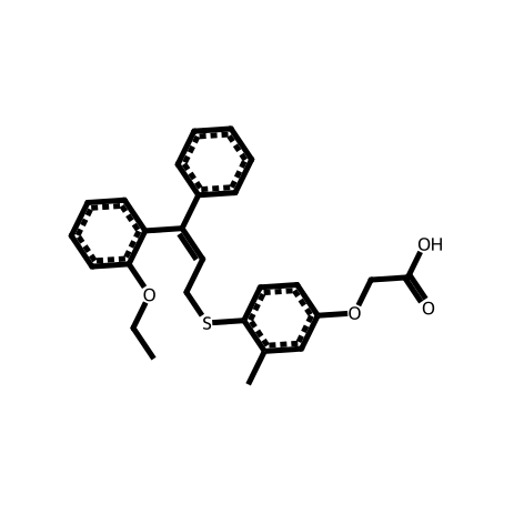 CCOc1ccccc1/C(=C\CSc1ccc(OCC(=O)O)cc1C)c1ccccc1